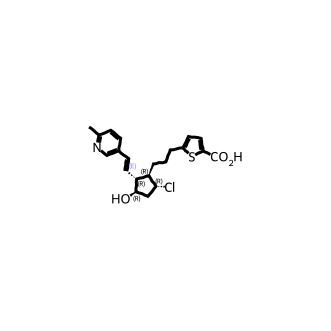 Cc1ccc(/C=C/[C@@H]2[C@@H](CCCc3ccc(C(=O)O)s3)[C@H](Cl)C[C@H]2O)cn1